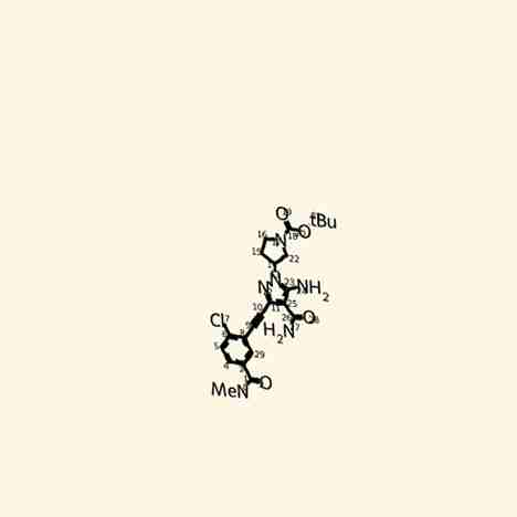 CNC(=O)c1ccc(Cl)c(C#Cc2nn([C@H]3CCN(C(=O)OC(C)(C)C)C3)c(N)c2C(N)=O)c1